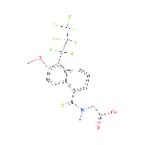 COc1ccc2c(C(=S)N(C)CC(=O)O)cccc2c1C(F)(F)C(F)(F)C(F)(F)F